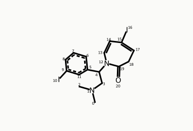 CN(C)CC(c1cccc(I)c1)N1C=CC(I)=CCC1=O